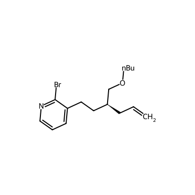 C=CC[C@@H](CCc1cccnc1Br)COCCCC